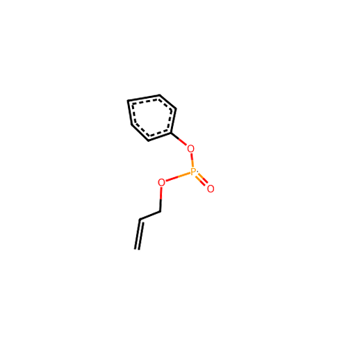 C=CCO[P](=O)Oc1ccccc1